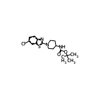 CC(C)(C)OC(=O)NC1CCN(c2nc3ccc(Cl)cc3s2)CC1